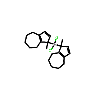 C[C]1([Zr]([Cl])([Cl])[C]2(C)C=CC3=C2CCCCC3)C=CC2=C1CCCCC2